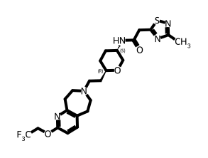 Cc1nsc(CC(=O)N[C@H]2CC[C@H](CCN3CCc4ccc(OCC(F)(F)F)nc4CC3)OC2)n1